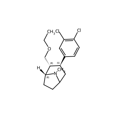 CCOC[C@@H]1[C@@H](c2ccc(Cl)c(Cl)c2)CC2CC[C@H]1N2C